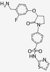 NCc1ccc(OC2CCN(c3ccc(S(=O)(=O)Nc4nccs4)cc3)C2=O)cc1F